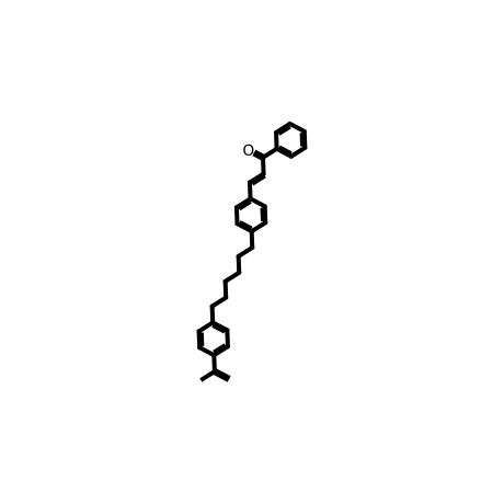 C=C(C)c1ccc(CCCCCCc2ccc(C=CC(=O)c3ccccc3)cc2)cc1